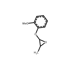 COc1ccccc1OC1OC1C